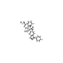 Nc1ccc(C(O)(c2ccc3c(cnn3-c3ccccc3)c2)C(F)(F)F)c2ccccc12